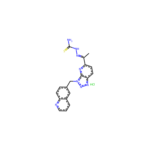 CC(=NNC(N)=S)c1ccc2nnn(Cc3ccc4ncccc4c3)c2n1.Cl